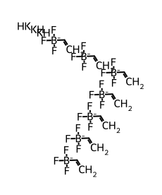 C=C[B-](F)(F)F.C=C[B-](F)(F)F.C=C[B-](F)(F)F.C=C[B-](F)(F)F.C=C[B-](F)(F)F.C=C[B-](F)(F)F.C=C[B-](F)(F)F.[KH].[KH].[KH]